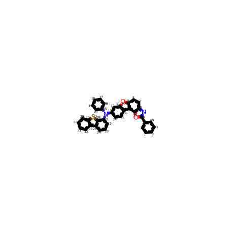 c1ccc(-c2nc3ccc4oc5cc(N(c6ccccc6)c6cccc7c6sc6ccccc67)ccc5c4c3o2)cc1